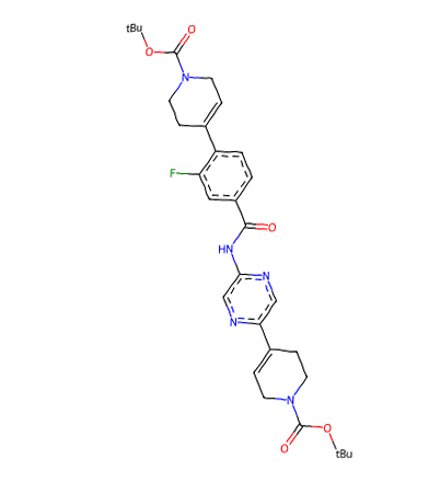 CC(C)(C)OC(=O)N1CC=C(c2cnc(NC(=O)c3ccc(C4=CCN(C(=O)OC(C)(C)C)CC4)c(F)c3)cn2)CC1